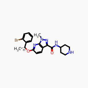 C[C@@H](Oc1ccc2c(C(=O)NC3CCNCC3)nn(C)c2n1)c1ccccc1Br